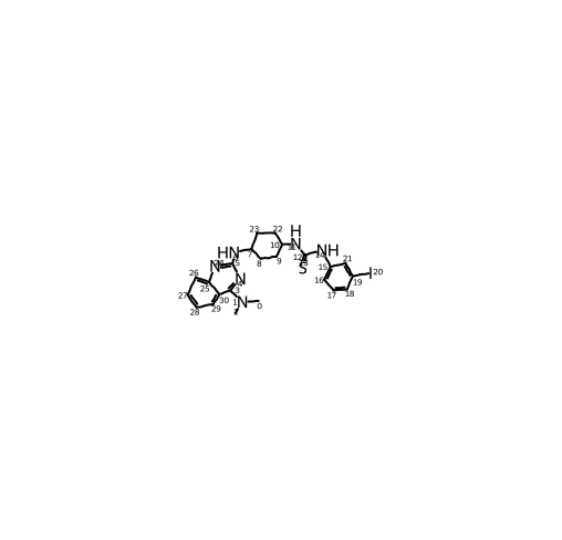 CN(C)c1nc(NC2CCC(NC(=S)Nc3cccc(I)c3)CC2)nc2ccccc12